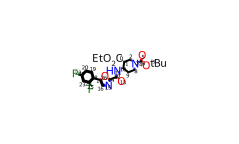 CCOC(=O)[C@@H]1CN(C(=O)OC(C)(C)C)CC[C@@H]1NC(=O)c1ncc(-c2ccc(F)cc2F)o1